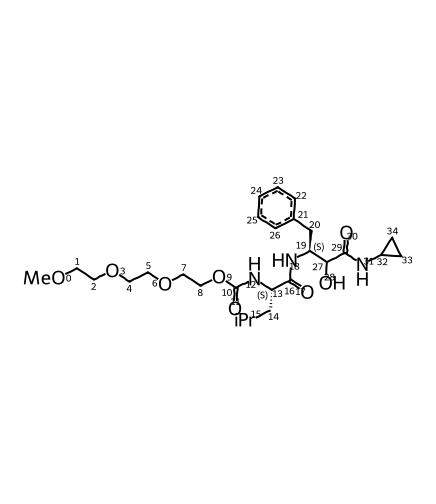 COCCOCCOCCOC(=O)N[C@@H](CC(C)C)C(=O)N[C@@H](Cc1ccccc1)C(O)C(=O)NC1CC1